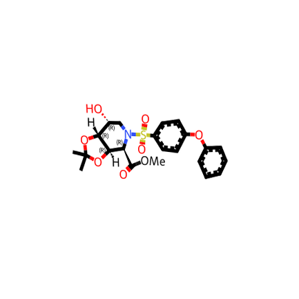 COC(=O)[C@H]1[C@H]2OC(C)(C)O[C@@H]2[C@H](O)CN1S(=O)(=O)c1ccc(Oc2ccccc2)cc1